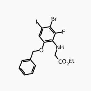 CCOC(=O)CNc1c(OCc2ccccc2)cc(I)c(Br)c1F